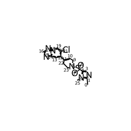 Cc1ncc(S(=O)(=O)N2CC=C(c3cc4ncnn4cc3Cl)CC2)n1C